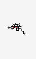 CCCCCN1C(=O)C2(COc3cc4c(cc32)CCO4)c2c(Nc3ccc(OC)nc3)cccc21